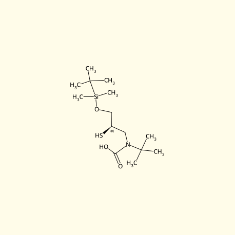 CC(C)(C)N(C[C@@H](S)CO[Si](C)(C)C(C)(C)C)C(=O)O